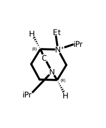 CC[N+]1(C(C)C)C[C@H]2CC[C@@H]1CN2C(C)C